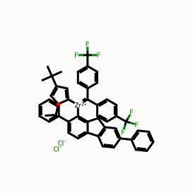 CCC1C=C(C(C)(C)C)C=[C]1[Zr+2](=[C](c1ccc(C(F)(F)F)cc1)c1ccc(C(F)(F)F)cc1)[c]1c(-c2ccccc2)ccc2c1Cc1cc(-c3ccccc3)ccc1-2.[Cl-].[Cl-]